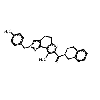 Cc1ccc(Cn2cc3c(n2)-c2c(oc(C(=O)N4CCc5ccccc5C4)c2C)CC3)cc1